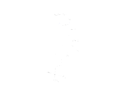 C/N=C(\C=C/NC)c1ccc2cnn(-c3cccc(CO[Si](C)(C)C(C)(C)C)n3)c2c1